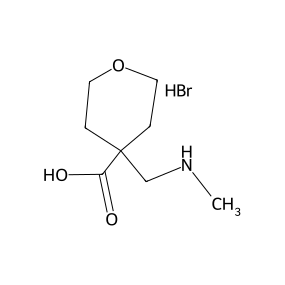 Br.CNCC1(C(=O)O)CCOCC1